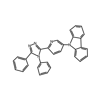 c1ccc(-c2nnc(-c3ccc(-n4c5ccccc5c5ccccc54)cn3)n2-c2ccccc2)cc1